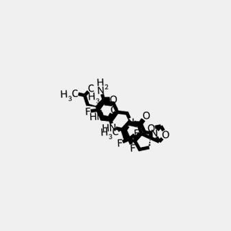 CC(C)C[C@H](NC(=O)Nc1ccc2c(c1)CC[C@@]21OC2OC1N2CC(=O)N(Cc1ccc(F)cc1)[C@@H](C)C(F)(F)F)C(N)=O